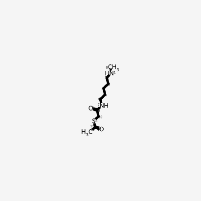 CNCCCCCNC(=O)CSC(C)=O